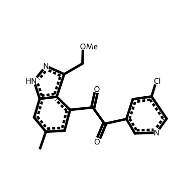 COCc1n[nH]c2cc(C)cc(C(=O)C(=O)c3cncc(Cl)c3)c12